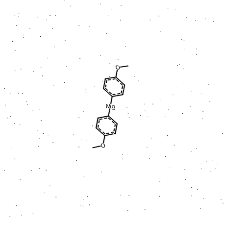 COc1cc[c]([Mg][c]2ccc(OC)cc2)cc1